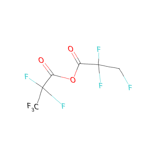 O=C(OC(=O)C(F)(F)C(F)(F)F)C(F)(F)CF